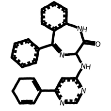 O=C1Nc2ccccc2C(c2ccccc2)=NC1Nc1cc(C2=CCCC=C2)ncn1